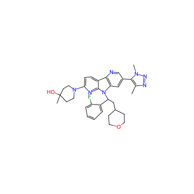 Cc1nnn(C)c1-c1cnc2c3ccc(N4CCC(C)(O)CC4)nc3n(C(CC3CCOCC3)c3ccccc3F)c2c1